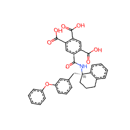 O=C(O)c1cc(C(=O)O)c(C(=O)N[C@]2(Cc3cccc(Oc4ccccc4)c3)CCCc3ccccc32)cc1C(=O)O